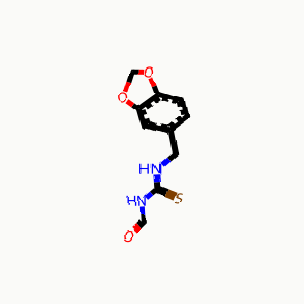 O=CNC(=S)NCc1ccc2c(c1)OCO2